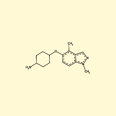 Cc1c(OC2CCC(N)CC2)ccc2c1cnn2C